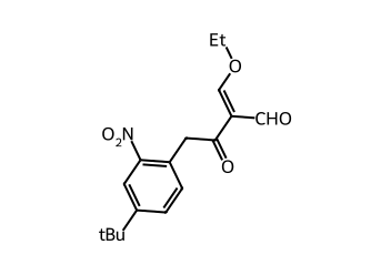 CCOC=C(C=O)C(=O)Cc1ccc(C(C)(C)C)cc1[N+](=O)[O-]